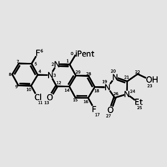 CCCC(C)c1nn(-c2c(F)cccc2Cl)c(=O)c2cc(F)c(-n3nc(CO)n(CC)c3=O)cc12